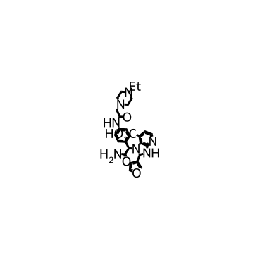 CCN1CCN(CC(=O)Nc2ccc(C(C(N)=O)N3c4c(C(=O)O)ccnc4NC3c3ccoc3)cc2)CC1